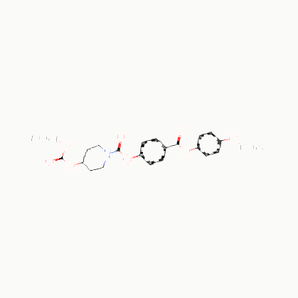 CCCCCCCCCCOc1ccc(OC(=O)c2ccc(OC(=O)N3CCC(OC(=O)OCCCCCCCC)CC3)cc2)cc1